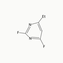 CCc1cc(F)nc(F)n1